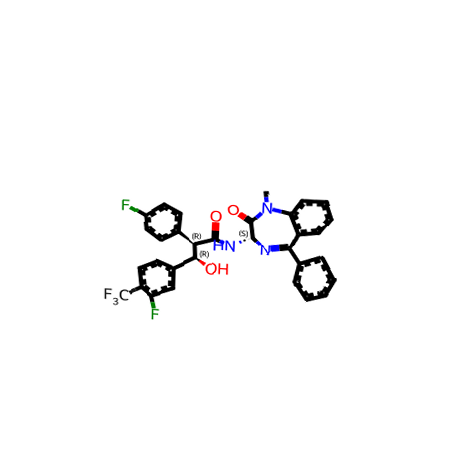 CN1C(=O)[C@@H](NC(=O)[C@H](c2ccc(F)cc2)[C@@H](O)c2ccc(C(F)(F)F)c(F)c2)N=C(c2ccccc2)c2ccccc21